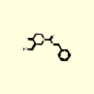 O=C1CCN(C(=O)OCc2ccccc2)CC1=CO